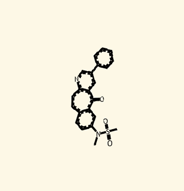 CN(c1ccc2ccc3ncc(-c4ccccc4)cc3c(=O)c2c1)S(C)(=O)=O